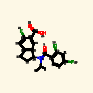 CC(C)N(C(=O)c1ccc(F)cc1Cl)[C@@H]1CCc2cc(F)c(C(=O)O)cc21